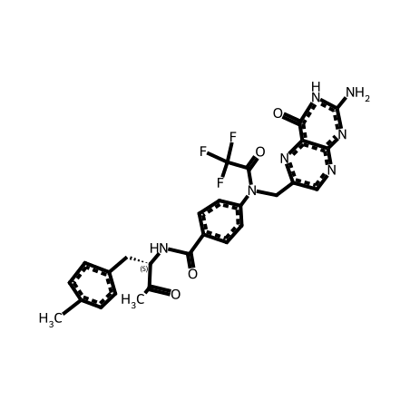 CC(=O)[C@H](Cc1ccc(C)cc1)NC(=O)c1ccc(N(Cc2cnc3nc(N)[nH]c(=O)c3n2)C(=O)C(F)(F)F)cc1